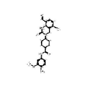 COc1cc(NC(=O)C2CCC(N3Cc4c(C)ccc(C=O)c4NC3=O)CC2)ccc1C